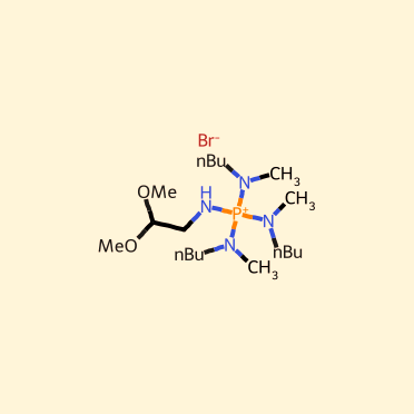 CCCCN(C)[P+](NCC(OC)OC)(N(C)CCCC)N(C)CCCC.[Br-]